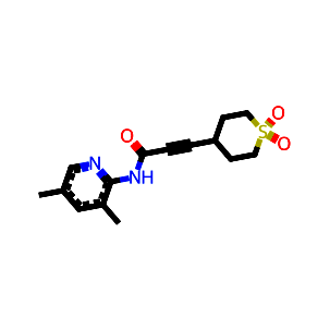 Cc1cnc(NC(=O)C#CC2CCS(=O)(=O)CC2)c(C)c1